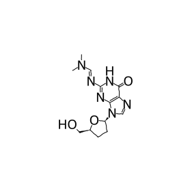 CN(C)C=Nc1nc2c(ncn2[C@H]2CC[C@@H](CO)O2)c(=O)[nH]1